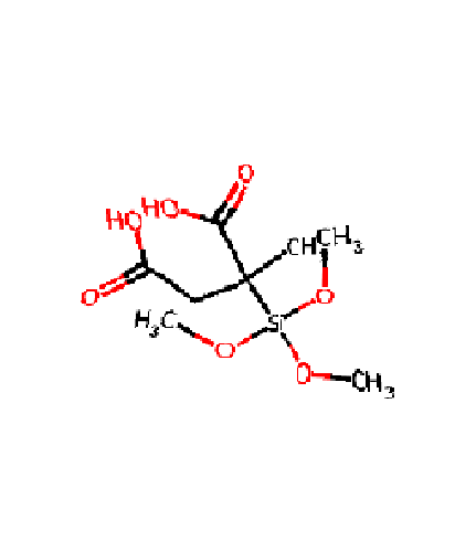 CO[Si](OC)(OC)C(C)(CC(=O)O)C(=O)O